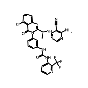 C[C@H](Nc1ncnc(N)c1C#N)c1nc2cccc(Cl)c2c(=O)n1-c1cccc(NC(=O)Nc2cccnc2C(F)(F)F)c1